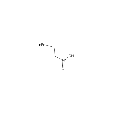 CCCCC[N+](=O)O